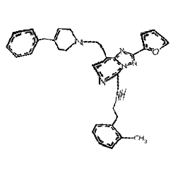 Cc1ccccc1CCNc1ncc(CN2CC=C(c3ccccc3)CC2)c2nc(-c3ccco3)nn12